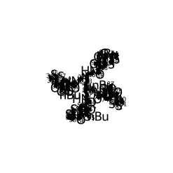 CCCCOn1c(C(=O)N2CCSC2=S)ccc(C(=O)NCCN(CCNC(=O)c2ccc(C(=O)N3CCSC3=S)n(OCCCC)c2=O)CCN(CCNC(=O)c2ccc(C(=O)N3CCSC3=S)n(OCCCC)c2=O)CCNC(=O)c2ccc(C(=O)N3CCSC3=S)n(OCCCC)c2=O)c1=O